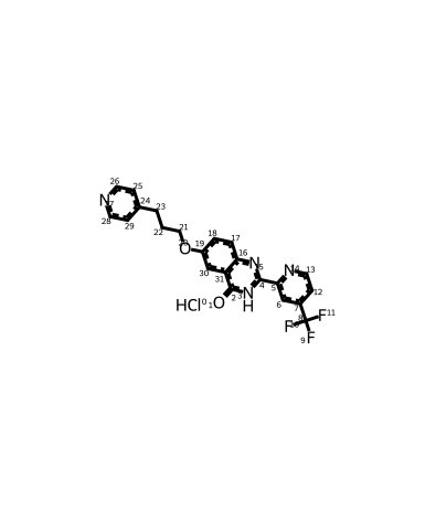 Cl.O=c1[nH]c(-c2cc(C(F)(F)F)ccn2)nc2ccc(OCCCc3ccncc3)cc12